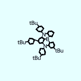 CC(C)(C)c1ccc(-c2cc3c4c(c2)N(c2ccc(C(C)(C)C)cc2)c2cc(C(C)(C)C)ccc2B4c2ccccc2N3c2ccc(C(C)(C)C)cc2)cc1